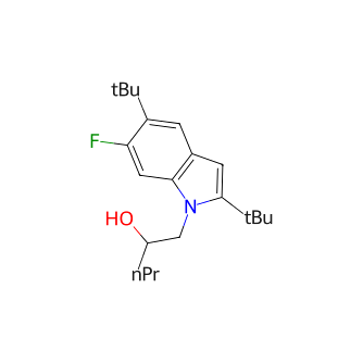 CCCC(O)Cn1c(C(C)(C)C)cc2cc(C(C)(C)C)c(F)cc21